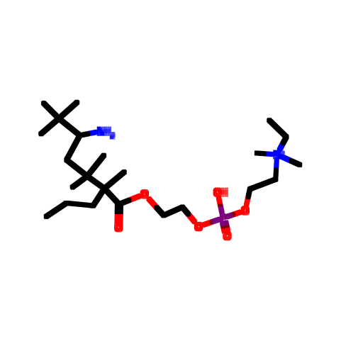 CCCC(C)(C(=O)OCCOP(=O)(O)OCC[N+](C)(C)CC)C(C)(C)CC(N)C(C)(C)C